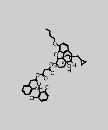 CCCCOc1ccc2c3c1OC1[C@H](OC(=O)CC(=O)OC(=O)Cc4ccccc4Nc4c(Cl)cccc4Cl)CC[C@@]4(O)[C@@H](C2)N(CC2CC2)CC[C@]314